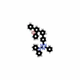 c1ccc(-c2nc(-c3ccc(-c4cccc(-c5ccc(-c6ccccc6)c6oc7ccccc7c56)c4)cc3)nc(-n3c4ccccc4c4ccccc43)n2)cc1